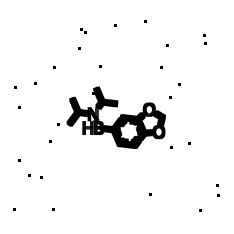 CC(C)N(Bc1ccc2c(c1)OCO2)C(C)C